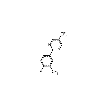 Fc1ccc(-c2ccc(C(F)(F)F)cn2)cc1C(F)(F)F